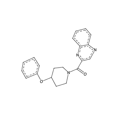 O=C(c1cnc2ccccc2n1)N1CCC(Oc2ccccc2)CC1